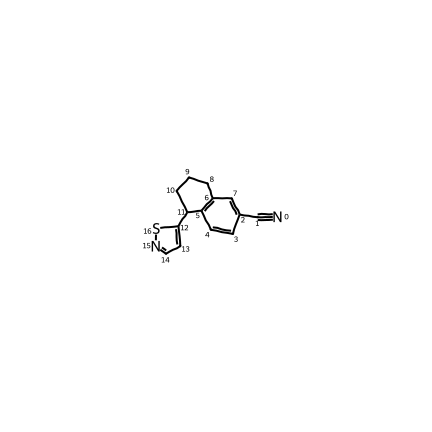 N#Cc1ccc2c(c1)CCCC2c1ccns1